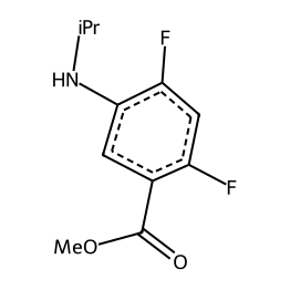 COC(=O)c1cc(NC(C)C)c(F)cc1F